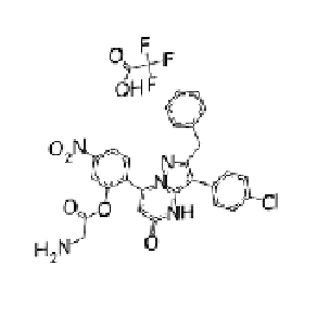 NCC(=O)Oc1cc([N+](=O)[O-])ccc1-c1cc(=O)[nH]c2c(-c3ccc(Cl)cc3)c(Cc3ccccc3)nn12.O=C(O)C(F)(F)F